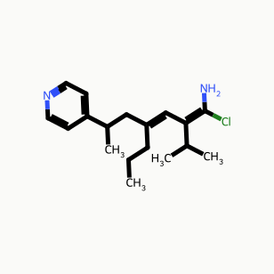 CCC/C(=C\C(=C(/N)Cl)C(C)C)CC(C)c1ccncc1